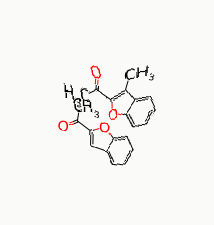 CC(=O)c1cc2ccccc2o1.CC(=O)c1oc2ccccc2c1C